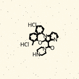 Cc1cccc(C)c1Oc1c(C(=O)N2CCNCC2)c2ncccc2n1-c1ccccc1.Cl.Cl